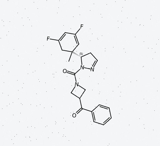 CC1([C@@H]2CC=NN2C(=O)N2CC(C(=O)c3ccccc3)C2)C=C(F)C=C(F)C1